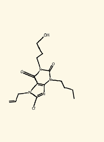 C=CCn1c(Cl)nc2c1c(=O)n(CCCO)c(=O)n2CCCC